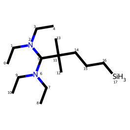 CCN(CC)C(N(CC)CC)C(C)(C)CCC[SiH3]